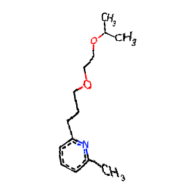 Cc1cccc(CCCOCCOC(C)C)n1